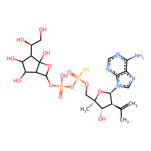 C=C(C)[C@@H]1[C@H](n2cnc3c(N)ncnc32)O[C@](C)(COP(=O)(S)OP(=O)(O)OC2OC3(O)C2C(O)C(O)C3[C@@H](O)CO)[C@H]1O